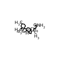 C=C1C[C@@H](C)CC[C@]1(C)C1CC[C@]2(C)[C@@H](C(C)CCC(N)=O)CC[C@H]2[C@H]1CC